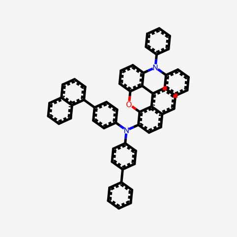 c1ccc(-c2ccc(N(c3ccc(-c4cccc5ccccc45)cc3)c3ccc4cccc5c4c3Oc3cccc(N(c4ccccc4)c4ccccc4)c3-5)cc2)cc1